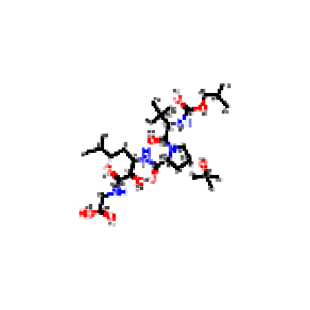 CC(C)CCC(NC(=O)[C@@H]1C[C@@H](OC(C)(C)C)CN1C(=O)[C@@H](NC(=O)OCC(C)C)C(C)(C)C)C(=O)C(=O)NCC(=O)O